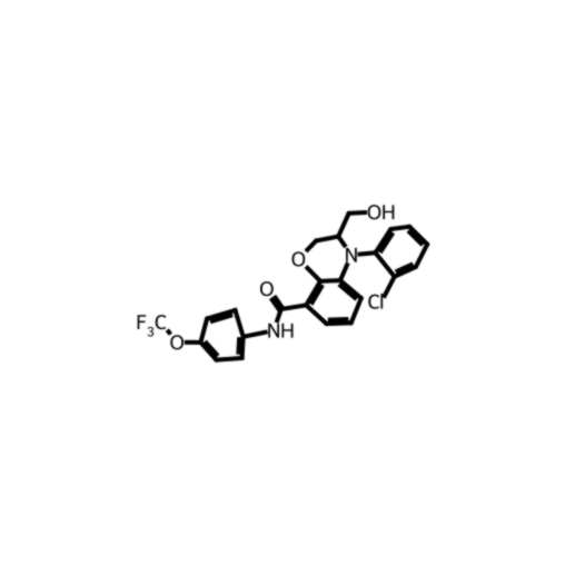 O=C(Nc1ccc(OC(F)(F)F)cc1)c1cccc2c1OCC(CO)N2c1ccccc1Cl